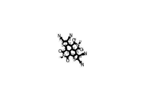 CN1C(=O)c2c3sc(C#N)c(C#N)c3c3c4c(c5c(C#N)c(C#N)sc5c(c24)C1=O)C(=O)N(C)C3=O